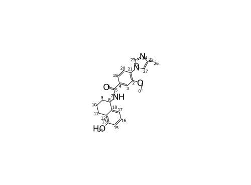 COc1cc(C(=O)NC2CCCc3c(O)cccc32)ccc1-n1cnc(C)c1